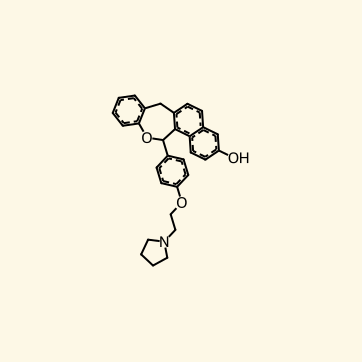 Oc1ccc2c3c(ccc2c1)Cc1ccccc1OC3c1ccc(OCCN2CCCC2)cc1